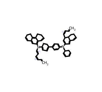 C=C/C=C\C=C\N(C1=CC=C(c2ccc(N(C3=CC(/C=C\C=C)C4CCC=CC4=C3)C3C=CC=CC3)cc2)CC1)c1cc2c(c3c1C=CCC3)CCC=C2